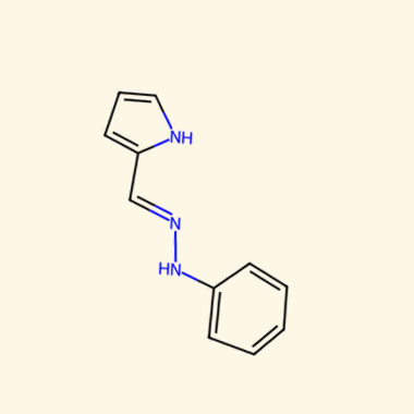 C(=N\Nc1ccccc1)/c1ccc[nH]1